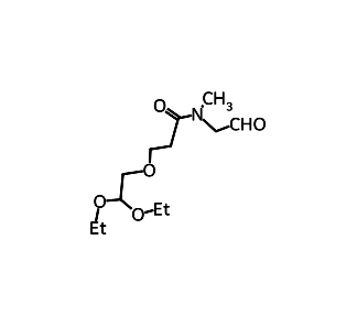 CCOC(COCCC(=O)N(C)CC=O)OCC